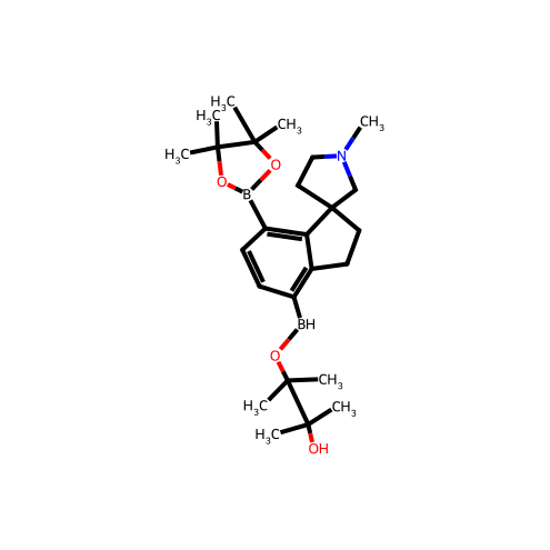 CN1CCC2(CCc3c(BOC(C)(C)C(C)(C)O)ccc(B4OC(C)(C)C(C)(C)O4)c32)C1